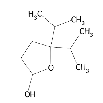 CC(C)C1(C(C)C)CCC(O)O1